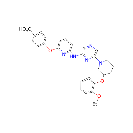 CCOc1ccccc1OC1CCCN(c2cncc(Nc3cccc(Oc4ccc(C(=O)O)cc4)n3)n2)C1